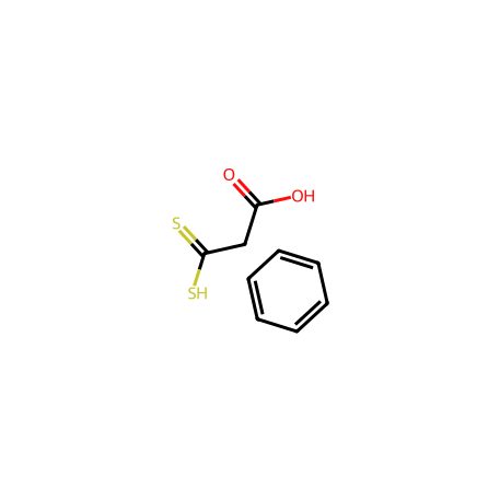 O=C(O)CC(=S)S.c1ccccc1